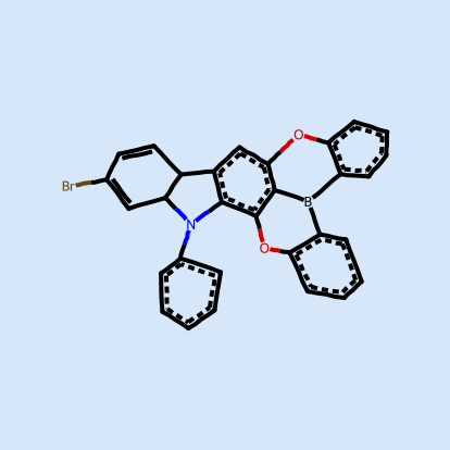 BrC1=CC2C(C=C1)c1cc3c4c(c1N2c1ccccc1)Oc1ccccc1B4c1ccccc1O3